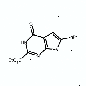 CCCc1cc2c(=O)[nH]c(C(=O)OCC)nc2s1